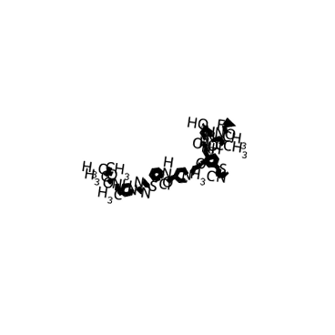 Cc1ncsc1-c1ccc(CNC(=O)[C@@H]2C[C@@H](O)CN2C(=O)[C@@H](NC(=O)C2(F)CC2)C(C)(C)C)c(OCCCN2CCC(C(=O)Nc3cccc(Sc4cnc(N5CCC(C)(CNC(=O)OC(C)(C)C)CC5)cn4)c3Cl)CC2)c1